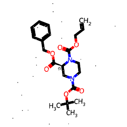 C=CCOC(=O)N1CCN(C(=O)OC(C)(C)C)C[C@H]1C(=O)OCc1ccccc1